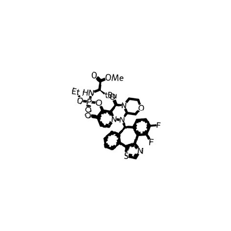 CCOP(=O)(N[C@@H](C(=O)OC)C(C)(C)C)Oc1c2n(ccc1=O)N(C1c3ccccc3-c3scnc3-c3c1ccc(F)c3F)C1COCCN1C2=O